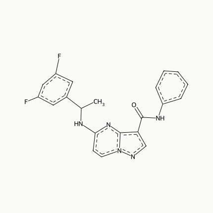 CC(Nc1ccn2ncc(C(=O)Nc3ccccc3)c2n1)c1cc(F)cc(F)c1